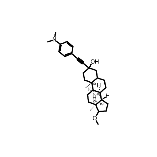 COC1CC[C@H]2[C@@H]3CCC4CC(O)(C#Cc5ccc(N(C)C)cc5)CC[C@]4(C)[C@@H]3CC[C@]12C